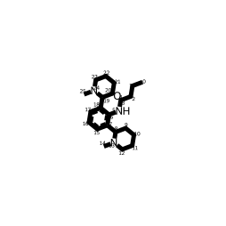 CCCC(=O)Nc1c(C2CCCCN2C)cccc1C1CCCCN1C